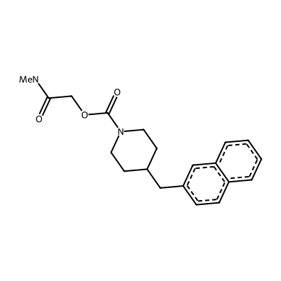 CNC(=O)COC(=O)N1CCC(Cc2ccc3ccccc3c2)CC1